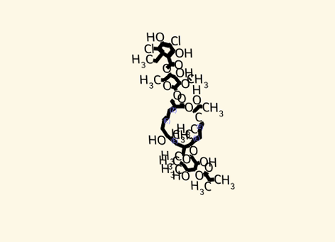 CCc1c(Cl)c(O)c(Cl)c(O)c1C(=O)OC1C(C)OC(OC/C2=C/C=C/CC(O)/C(C)=C/C(CC)C(OC3OC(C)(C)C(O)C(OC(=O)C(C)C)C3O)/C(C)=C/C(C)=C/CC(C(C)O)OC2=O)C(OC)C1O